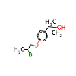 CC(Br)COc1ccc(CC(C)(C)O)cc1